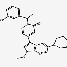 CC(c1cccc(Cl)c1)n1ccc(-c2cn(SI)c3ncc(N4CCOCC4)cc23)cc1=O